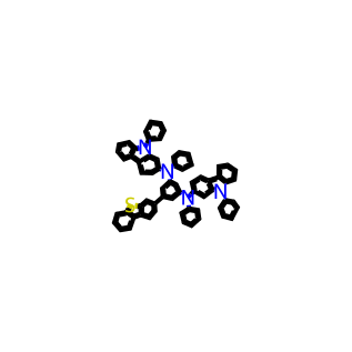 c1ccc(N(c2cc(-c3ccc4c(c3)sc3ccccc34)cc(N(c3ccccc3)c3ccc4c5ccccc5n(-c5ccccc5)c4c3)c2)c2ccc3c4ccccc4n(-c4ccccc4)c3c2)cc1